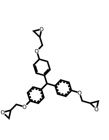 C1=CC(OCC2CO2)CC=C1C(c1ccc(OCC2CO2)cc1)c1ccc(OCC2CO2)cc1